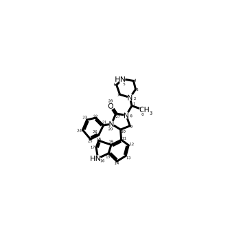 CC(N1CCNCC1)N1CC(c2cccc3[nH]ccc23)N(c2ccccc2)C1=O